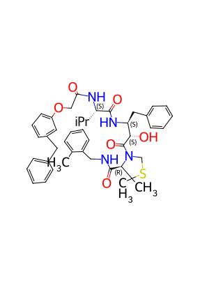 Cc1ccccc1CNC(=O)[C@H]1N(C(=O)[C@@H](O)[C@H](Cc2ccccc2)NC(=O)[C@@H](NC(=O)COc2cccc(Cc3ccccc3)c2)C(C)C)CSC1(C)C